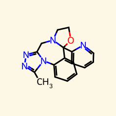 Cc1nnc2n1-c1ccccc1C1(c3ccccn3)OCCN1C2